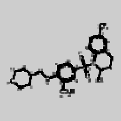 CCC1CCc2cc(C(F)(F)F)ccc2N1S(=O)(=O)c1ccc(OCC2CCOCC2)c(C(=O)O)c1